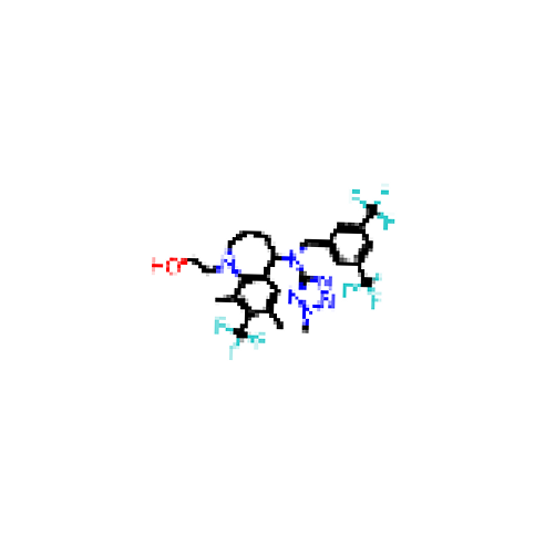 Cc1cc2c(c(C)c1C(F)(F)F)N(CCO)CCCC2N(Cc1cc(C(F)(F)F)cc(C(F)(F)F)c1)c1nnn(C)n1